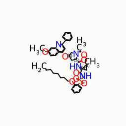 C=CCCCCCCOc1ccccc1S(=O)(=O)NC(=O)[C@@]1(NC(=O)[C@@H]2C[C@@H](Oc3cc(-c4ccccc4)nc4cc(OC)ccc34)CN2C(C)=O)C[C@H]1C